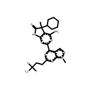 Cn1ncc2c(-c3nc(N)c4c(n3)NC(=O)C4(C)C3CCCCC3)nc(CCC(F)(F)C(F)(F)F)nc21